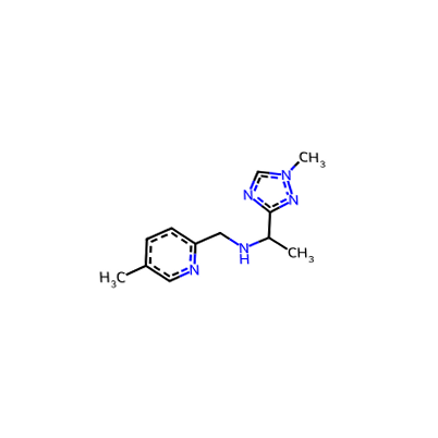 Cc1ccc(CNC(C)c2ncn(C)n2)nc1